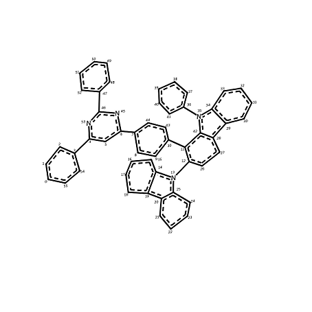 c1ccc(-c2cc(-c3ccc(-c4c(-n5c6ccccc6c6ccccc65)ccc5c6ccccc6n(-c6ccccc6)c45)cc3)nc(-c3ccccc3)n2)cc1